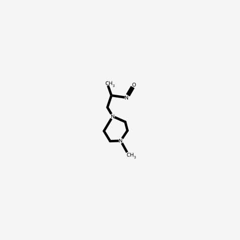 CC(CN1CCN(C)CC1)N=O